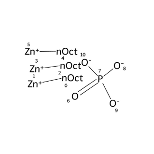 CCCCCCC[CH2][Zn+].CCCCCCC[CH2][Zn+].CCCCCCC[CH2][Zn+].O=P([O-])([O-])[O-]